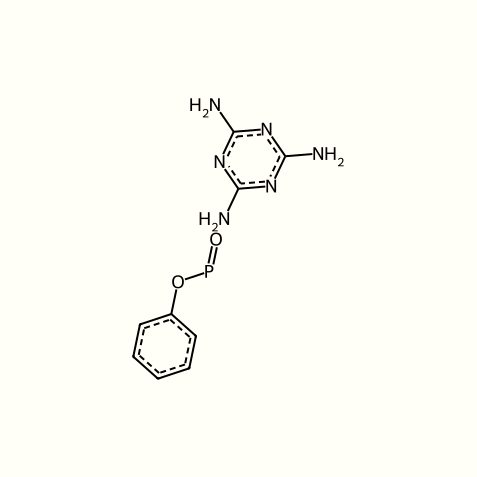 Nc1nc(N)nc(N)n1.O=POc1ccccc1